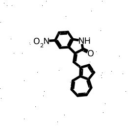 O=C1Nc2ccc([N+](=O)[O-])cc2C1=Cc1ccc2cccccc1-2